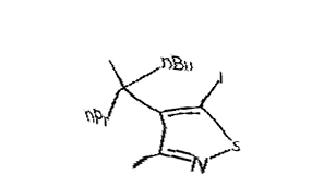 CCCCC(C)(CCC)c1c(C)nsc1I